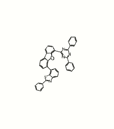 c1ccc(-c2nc(-c3ccccc3)nc(-c3cccc4c3oc3c(-c5cccc6nc(-c7ccccc7)sc56)cccc34)n2)cc1